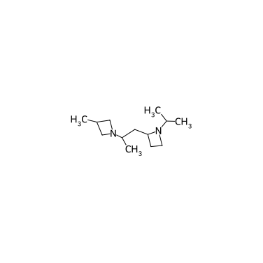 CC1CN(C(C)CC2CCN2C(C)C)C1